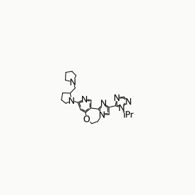 CC(C)n1ncnc1-c1cn2c(n1)-c1cnc(N3CCCC3CN3CCCC3)cc1OCC2